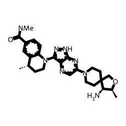 CNC(=O)c1ccc2c(c1)[C@@H](C)CCN2c1n[nH]c2nc(N3CCC4(CC3)CO[C@@H](C)[C@H]4N)cnc12